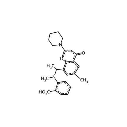 Cc1cc(C(C)N(C)c2ccccc2C(=O)O)c2oc(N3CCCCC3)cc(=O)c2c1